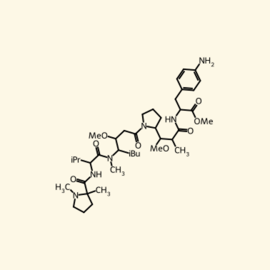 CCC(C)C(C(CC(=O)N1CCCC1C(OC)C(C)C(=O)NC(Cc1ccc(N)cc1)C(=O)OC)OC)N(C)C(=O)C(NC(=O)C1(C)CCCN1C)C(C)C